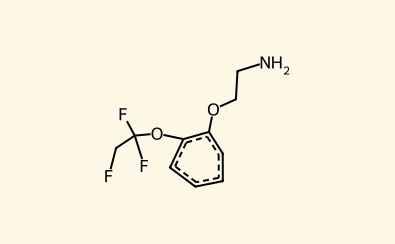 NCCOc1ccccc1OC(F)(F)CF